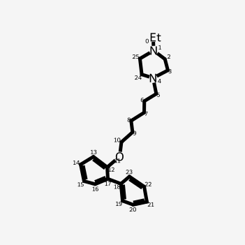 CCN1CCN(CCCCCCOc2ccccc2-c2ccccc2)CC1